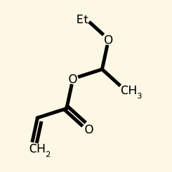 C=CC(=O)OC(C)OCC